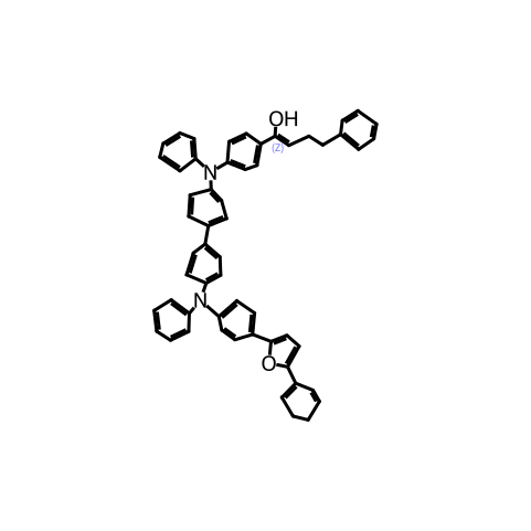 O/C(=C\CCc1ccccc1)c1ccc(N(c2ccccc2)c2ccc(-c3ccc(N(c4ccccc4)c4ccc(-c5ccc(C6=CCCC=C6)o5)cc4)cc3)cc2)cc1